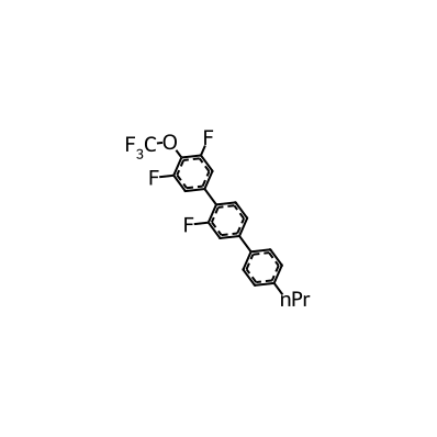 CCCc1ccc(-c2ccc(-c3cc(F)c(OC(F)(F)F)c(F)c3)c(F)c2)cc1